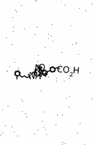 Cc1ccccc1CCCC(C)(C)NCC(O)CN(C)S(=O)(=O)c1cccc(-c2ccc(CC(=O)O)cc2)c1